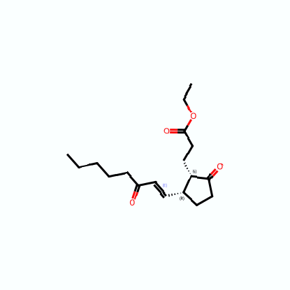 CCCCCC(=O)/C=C/[C@H]1CCC(=O)[C@H]1CCC(=O)OCC